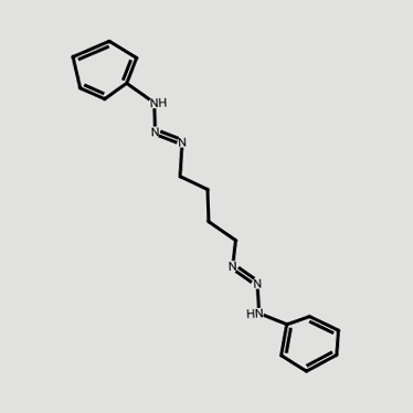 c1ccc(NN=NCCCCN=NNc2ccccc2)cc1